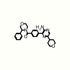 Nc1ncc(C2CCOCC2)nc1-c1ccc(C(=O)N2CCOCC2c2ccccc2)cc1